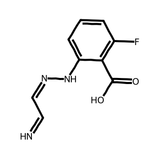 N=C/C=N\Nc1cccc(F)c1C(=O)O